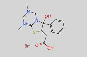 CN1CN2C(=[N+](C)C1)SC(CC(=O)O)C2(O)c1ccccc1.[Br-]